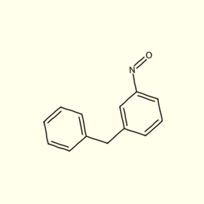 O=Nc1cccc(Cc2ccccc2)c1